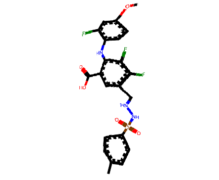 COc1ccc(Nc2c(C(=O)O)cc(CNNS(=O)(=O)c3ccc(C)cc3)c(F)c2F)c(F)c1